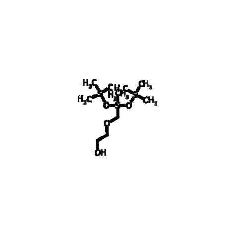 C[Si](C)(C)O[Si](C)(COCCO)O[Si](C)(C)C